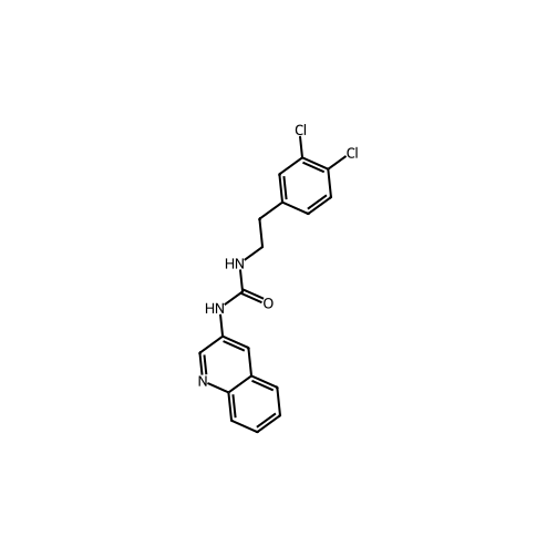 O=C(NCCc1ccc(Cl)c(Cl)c1)Nc1cnc2ccccc2c1